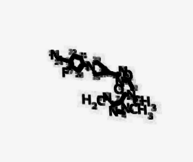 C=Nc1ncn(C)c1C(=O)N(C)Cc1nc(C2C3CN(c4ccc(C#N)c(F)c4)CC32)no1